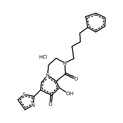 Cl.O=C1c2c(O)c(=O)c(-c3nccs3)cn2CCN1CCCCc1ccccc1